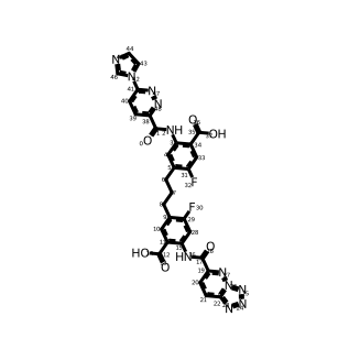 O=C(Nc1cc(CCCc2cc(C(=O)O)c(NC(=O)c3ccc4nnnn4n3)cc2F)c(F)cc1C(=O)O)c1ccc(-n2ccnc2)nn1